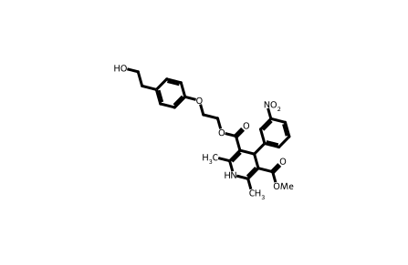 COC(=O)C1=C(C)NC(C)=C(C(=O)OCCOc2ccc(CCO)cc2)C1c1cccc([N+](=O)[O-])c1